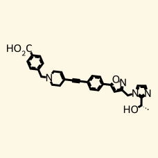 C[C@H](O)c1nccn1Cc1cc(-c2ccc(C#CC3=CCN(Cc4ccc(C(=O)O)cc4)CC3)cc2)on1